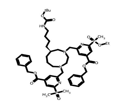 CCOP(C)(=O)c1cc(C(=O)OCc2ccccc2)cc(CN2CCN(Cc3cc(C(=O)OCc4ccccc4)cc(P(C)(C)=O)n3)CCC[C@@H](CCCCNC(=O)OC(C)(C)C)C2)n1